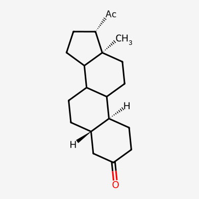 CC(=O)[C@H]1CCC2C3CC[C@H]4CC(=O)CC[C@@H]4C3CC[C@@]21C